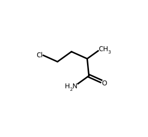 CC(CCCl)C(N)=O